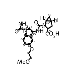 COCCOc1ccc2c(c1)c(NC(=O)N1[C@@H]3C[C@@H]3C[C@H]1C(=O)O)cn2C(N)=O